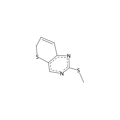 CSc1ncc2c(n1)C=CCS2